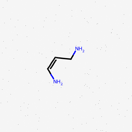 N/C=C\CN